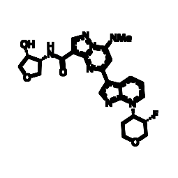 CNc1cc(-c2cnc3n([C@H]4CCOC[C@H]4F)cccc2-3)nc2c(C(=O)N[C@@H]3COC[C@@H]3O)cnn12